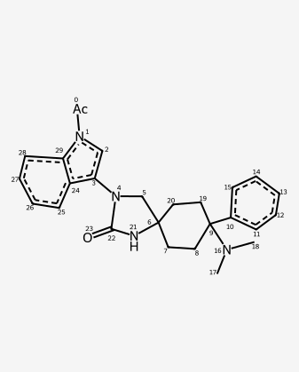 CC(=O)n1cc(N2CC3(CCC(c4ccccc4)(N(C)C)CC3)NC2=O)c2ccccc21